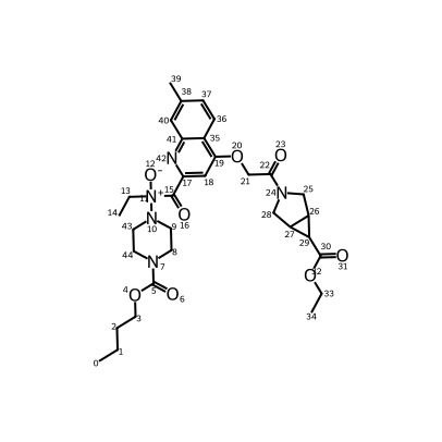 CCCCOC(=O)N1CCN([N+]([O-])(CC)C(=O)c2cc(OCC(=O)N3CC4C(C3)C4C(=O)OCC)c3ccc(C)cc3n2)CC1